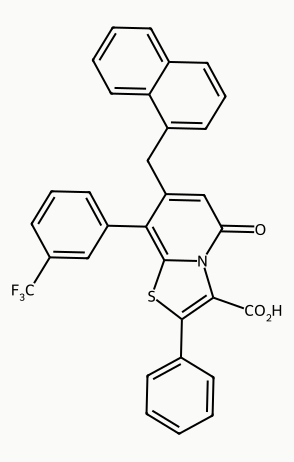 O=C(O)c1c(-c2ccccc2)sc2c(-c3cccc(C(F)(F)F)c3)c(Cc3cccc4ccccc34)cc(=O)n12